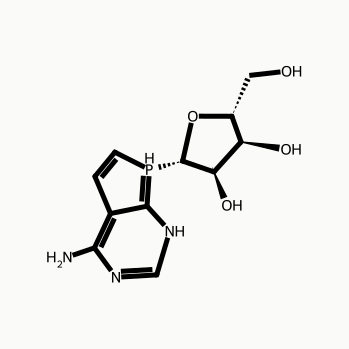 NC1=C2C=C[PH]([C@@H]3O[C@H](CO)[C@@H](O)[C@H]3O)=C2NC=N1